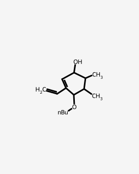 C=CC1=CC(O)C(C)C(C)C1OCCCC